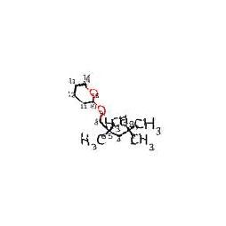 CC(C)(C)CC(C)(C)COC1CCCCO1